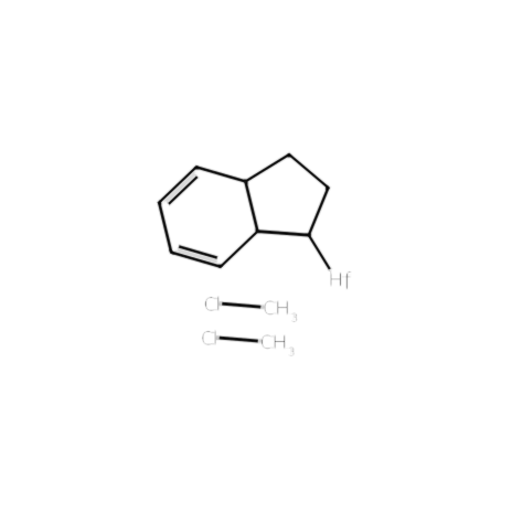 CCl.CCl.[Hf][CH]1CCC2C=CC=CC12